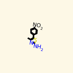 Cc1nc(N)sc1-c1ccc([N+](=O)[O-])cc1